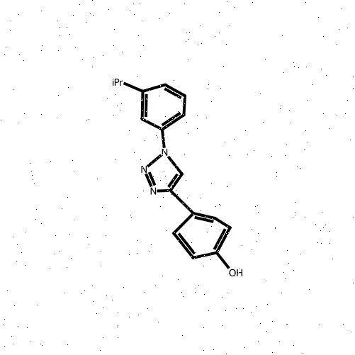 CC(C)c1cccc(-n2cc(-c3ccc(O)cc3)nn2)c1